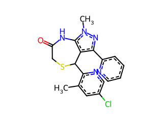 Cc1cc(Cl)cnc1C1SCC(=O)Nc2c1c(-c1ccccn1)nn2C